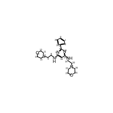 c1ccc(-c2nc(NCCN3CCOCC3)cc(NCCN3CCOCC3)n2)cc1